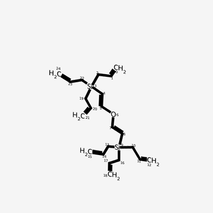 C=CC[Si](C=COC=C[Si](CC=C)(CC=C)CC=C)(CC=C)CC=C